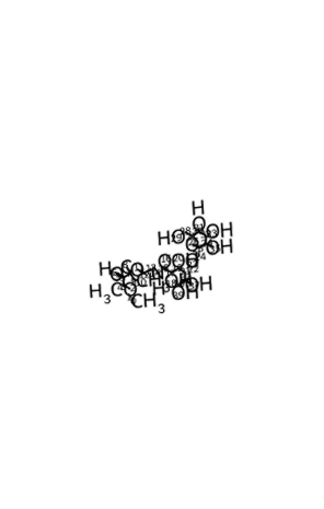 CCOC(C)C(=O)C(C)(CC)OCCNC(=O)C(O)C(O)[C@H](COC[C@H]1OC(CO)[C@H](O)C(O)C1O)C(O)CO